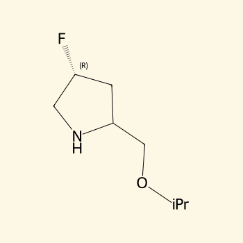 CC(C)OCC1C[C@@H](F)CN1